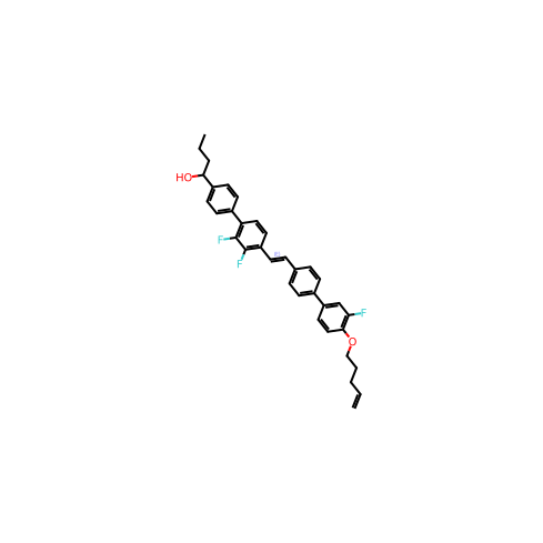 C=CCCCOc1ccc(-c2ccc(/C=C/c3ccc(-c4ccc(C(O)CCC)cc4)c(F)c3F)cc2)cc1F